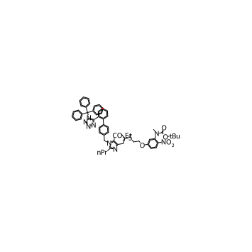 CCCc1nc(CC(C)SCCOc2ccc([N+](=O)[O-])c(N(C)C(=O)OC(C)(C)C)c2)c(C(=O)OCC)n1Cc1ccc(-c2ccccc2-c2nnnn2C(c2ccccc2)(c2ccccc2)c2ccccc2)cc1